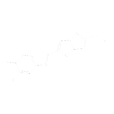 CSc1nn2cc(C3Nc4cc(F)c(F)cc4O3)nc2s1